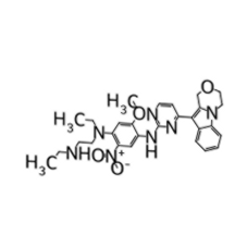 CCNCCN(CC)c1cc(OC)c(Nc2nccc(-c3c4n(c5ccccc35)CCOC4)n2)cc1[N+](=O)[O-]